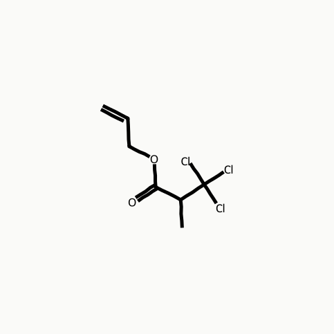 C=CCOC(=O)C(C)C(Cl)(Cl)Cl